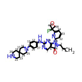 C=CCn1c(=O)c2cnc(Nc3ccc(N4CCC5(CCNCC5)CC4)cc3)nc2n1-c1cccc(C2(F)COC2)n1